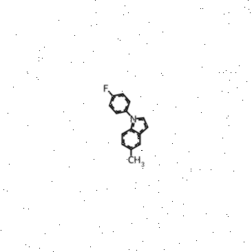 Cc1ccc2c(ccn2-c2ccc(F)cc2)c1